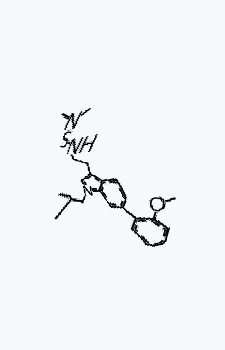 COc1ccccc1-c1ccc2c(CCNSN(C)C)cn(CC(C)C)c2c1